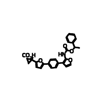 CC(OC(=O)Nc1occc1-c1ccc(-c2ccc(C3(C(=O)O)CC3)o2)cc1)c1ccccc1